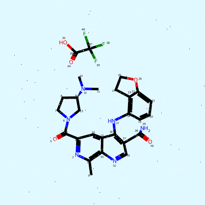 Cc1nc(C(=O)N2CC[C@@H](N(C)C)C2)cc2c(Nc3cccc4c3CCO4)c(C(N)=O)cnc12.O=C(O)C(F)(F)F